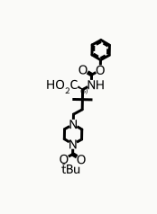 CC(C)(C)OC(=O)N1CCN(CCC(C)(C)[C@H](NC(=O)Oc2ccccc2)C(=O)O)CC1